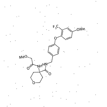 COCC(=O)NC1(C(=O)NCc2ccc(Oc3ccc(OC)cc3C(F)(F)F)cc2)CCOCC1